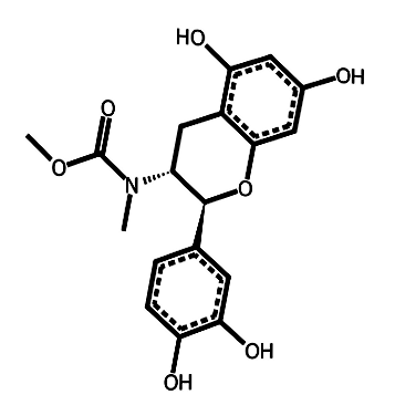 COC(=O)N(C)[C@@H]1Cc2c(O)cc(O)cc2O[C@H]1c1ccc(O)c(O)c1